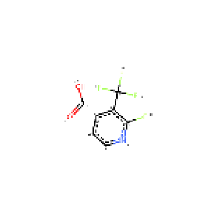 Fc1ncccc1C(F)(F)F.O=CO